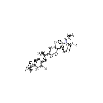 CCN/C(=C\C=N)C(=O)N(C)c1ccc(-c2ncc3nc(C(F)(F)F)cc(C)c3n2)cc1C